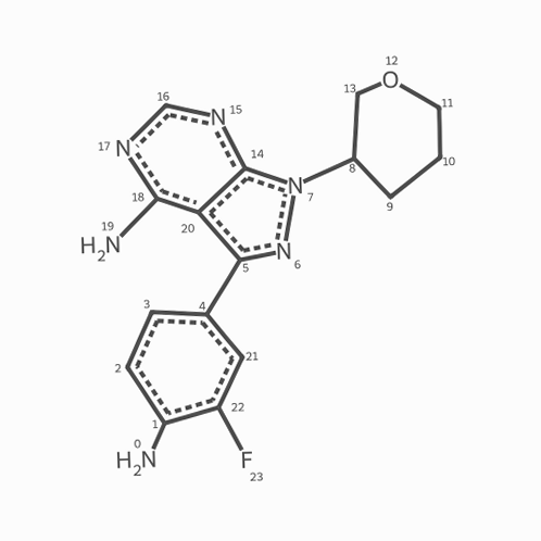 Nc1ccc(-c2nn(C3CCCOC3)c3ncnc(N)c23)cc1F